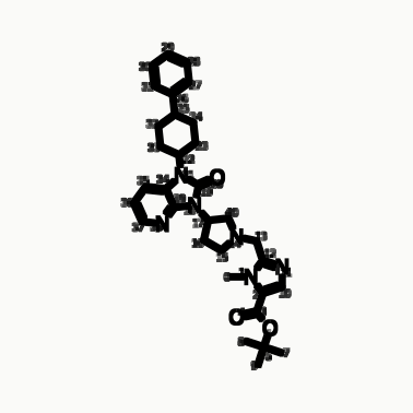 Cn1c(C(=O)OC(C)(C)C)cnc1CN1CCC(n2c(=O)n(C3CCC(c4ccccc4)CC3)c3cccnc32)C1